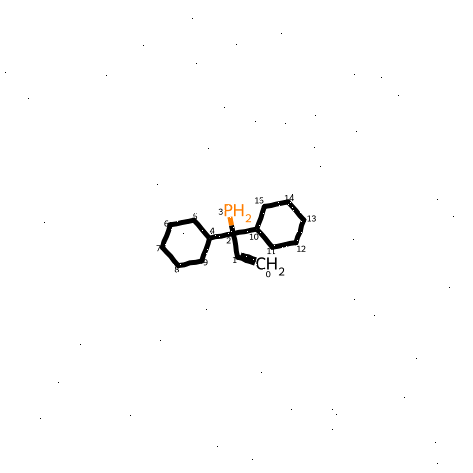 C=CC(P)(C1CCCCC1)C1CCCCC1